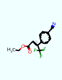 CCOC(=O)/C=C(/c1ccc(C#N)cc1)C(F)(F)F